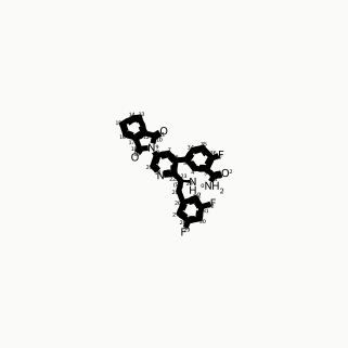 NC(=O)c1cc(-c2cc(N3C(=O)c4ccccc4C3=O)cnc2[C@@H](N)Cc2cc(F)cc(F)c2)ccc1F